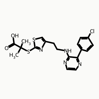 CC(C)(Sc1nc(CCNc2nccnc2-c2ccc(Cl)cc2)cs1)C(=O)O